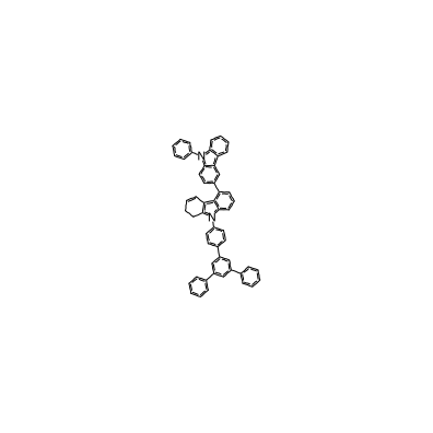 C1=Cc2c(n(-c3ccc(-c4cc(-c5ccccc5)cc(-c5ccccc5)c4)cc3)c3cccc(-c4ccc5c(c4)c4ccccc4n5-c4ccccc4)c23)CC1